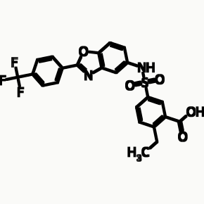 CCc1ccc(S(=O)(=O)Nc2ccc3oc(-c4ccc(C(F)(F)F)cc4)nc3c2)cc1C(=O)O